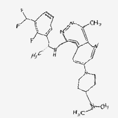 Cc1nnc(N[C@H](C)c2cccc(C(F)F)c2F)c2cc(N3CCC(N(C)C)CC3)cnc12